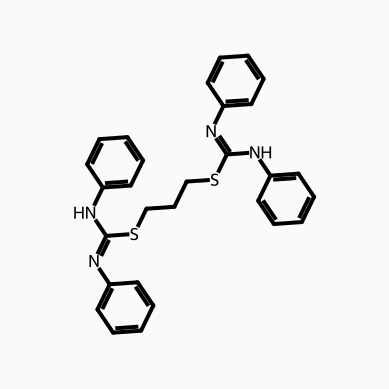 c1ccc(N=C(Nc2ccccc2)SCCCSC(=Nc2ccccc2)Nc2ccccc2)cc1